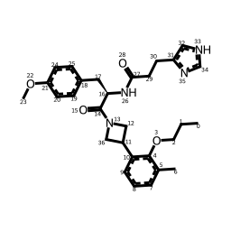 CCCOc1c(C)cccc1C1CN(C(=O)[C@@H](Cc2ccc(OC)cc2)NC(=O)CCc2c[nH]cn2)C1